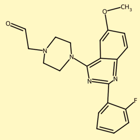 COc1ccc2nc(-c3ccccc3F)nc(N3CCN(CC=O)CC3)c2c1